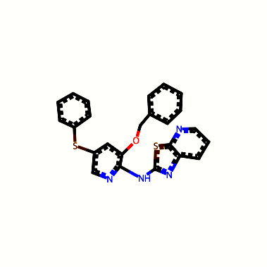 c1ccc(COc2cc(Sc3ccccc3)cnc2Nc2nc3cccnc3s2)cc1